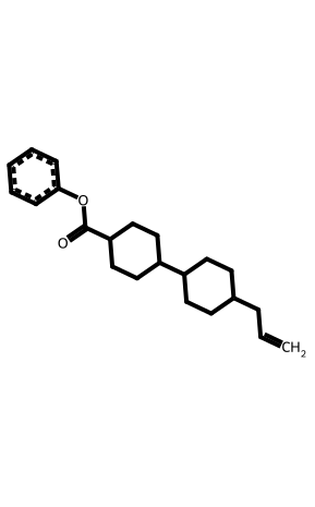 C=CCC1CCC(C2CCC(C(=O)Oc3ccccc3)CC2)CC1